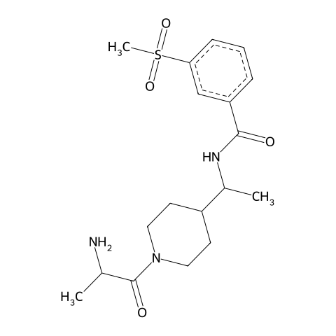 CC(N)C(=O)N1CCC(C(C)NC(=O)c2cccc(S(C)(=O)=O)c2)CC1